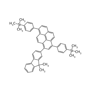 CC1(C)c2ccccc2-c2ccc(-c3cc(-c4ccc([Si](C)(C)C)cc4)c4ccc5ccc(-c6ccc([Si](C)(C)C)cc6)c6ccc3c4c56)cc21